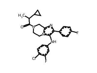 CC(C(=O)N1CCn2c(nc(-c3ccc(F)cc3)c2Nc2ccc(Cl)c(F)c2)C1)C1CC1